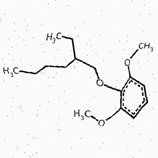 CCCCC(CC)COc1c(OC)cccc1OC